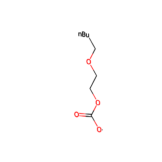 CCCCCOCCOC([O])=O